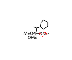 CO[Si](OC)(OC)C(C)C1CCCCC1.O